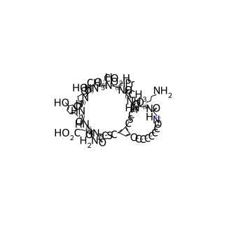 CC(C)C[C@@H]1NC(=O)[C@H](C)NC(=O)[C@@H]2CSCc3cc(cc(c3)OCCCCCCO/N=C/C(=O)N[C@@H](CCCCN)C(=O)N2)CSC[C@@H](C(N)=O)NC(=O)[C@H](CCC(=O)O)NC(=O)[C@H](Cc2ccc(O)cc2)NC(=O)[C@@H]2CCCN2C(=O)[C@H]([C@@H](C)O)NC(=O)[C@H](CC(=O)O)NC1=O